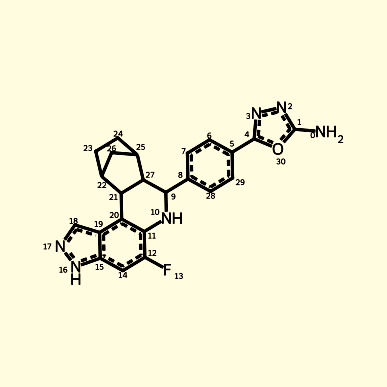 Nc1nnc(-c2ccc(C3Nc4c(F)cc5[nH]ncc5c4C4C5CCC(C5)C34)cc2)o1